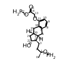 C[C@@H](CC[C@@H]1[C@H]2Cc3cccc(OCC(=O)OP)c3C[C@H]2C[C@H]1O)OP